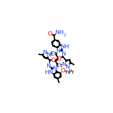 CCCOc1cc(C)cc2[nH]/c(=N/C(=O)c3cc(C)nn3CC)n(C/C=C/Cn3/c(=N\C(=O)c4cc(C)nn4CC)[nH]c4cc(C(N)=O)ccc43)c12